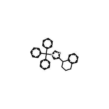 c1ccc(C(c2ccccc2)(c2ccccc2)n2cnc(C3CCCc4ccccc43)c2)cc1